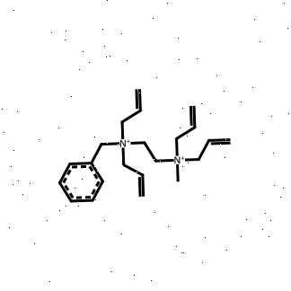 C=CC[N+](C)(CC=C)CC[N+](CC=C)(CC=C)Cc1ccccc1